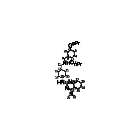 CCCOc1ccc(OCCC)c(CNC[C@H]2CC[C@@H](Nc3nc(N(C)C)c4ccccc4n3)CC2)c1